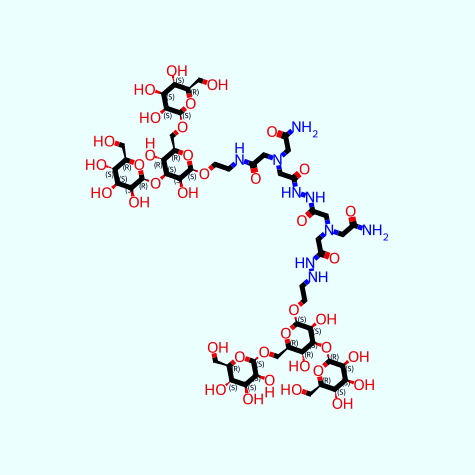 NC(=O)CN(CC(=O)NCCO[C@H]1O[C@H](CO[C@H]2O[C@H](CO)[C@@H](O)[C@H](O)[C@@H]2O)[C@@H](O)[C@H](O[C@H]2O[C@H](CO)[C@@H](O)[C@H](O)[C@@H]2O)[C@@H]1O)CC(=O)NNC(=O)CN(CC(N)=O)CC(=O)NNCCO[C@H]1O[C@H](CO[C@H]2O[C@H](CO)[C@@H](O)[C@H](O)[C@@H]2O)[C@@H](O)[C@H](O[C@H]2O[C@H](CO)[C@@H](O)[C@H](O)[C@@H]2O)[C@@H]1O